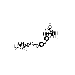 Cc1[nH]nc(C(=O)O)c1Nc1ccc(Cc2ccc(OCCOC3CN(C(=O)OC(C)(C)C)C3)cc2)cc1